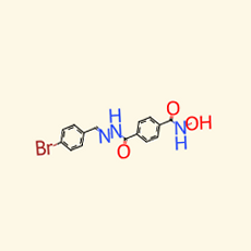 O=C(NO)c1ccc(C(=O)N/N=C/c2ccc(Br)cc2)cc1